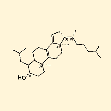 CC(C)CCC[C@@H](C)[C@H]1CC=C2C3=C(CC[C@@]21C)[C@@]1(C)CC[C@H](O)C(CC(C)C)C1CC3